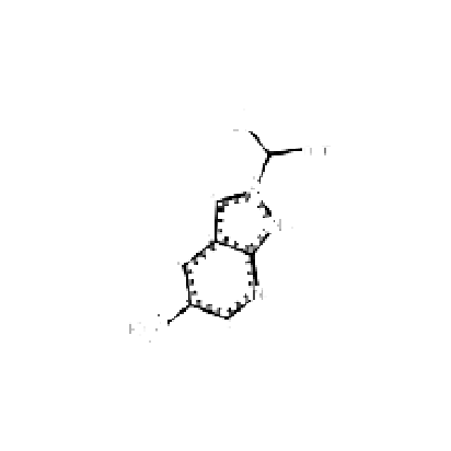 CCCC(CC)n1cc2cc(C(=O)O)cnc2n1